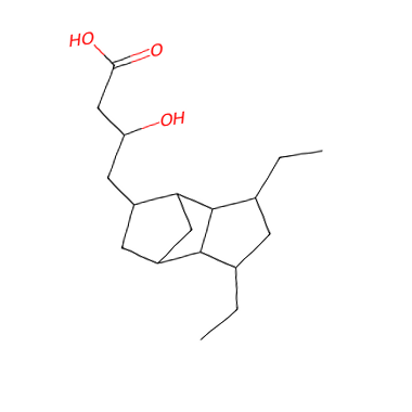 CCC1CC(CC)C2C3CC(CC3CC(O)CC(=O)O)C12